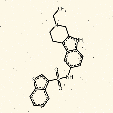 O=S(=O)(Nc1ccc2[nH]c3c(c2c1)CCN(CC(F)(F)F)C3)c1csc2ccccc12